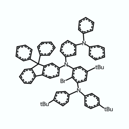 CC(C)(C)c1ccc(N(c2ccc(C(C)(C)C)cc2)c2cc(C(C)(C)C)cc(N(c3cccc(N(c4ccccc4)c4ccccc4)c3)c3ccc4c(c3)C(c3ccccc3)(c3ccccc3)c3ccccc3-4)c2Br)cc1